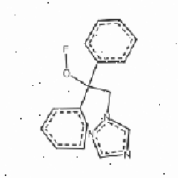 FOC(Cn1cncn1)(c1ccccc1)c1ccccc1